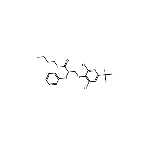 CCCCOC(=O)C(COc1c(Cl)cc(C(F)(F)F)cc1Cl)Oc1ccccc1